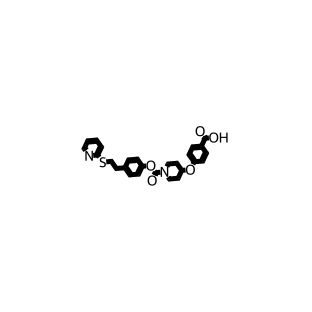 O=C(O)c1ccc(OC2CCN(C(=O)Oc3ccc(CCSc4ccccn4)cc3)CC2)cc1